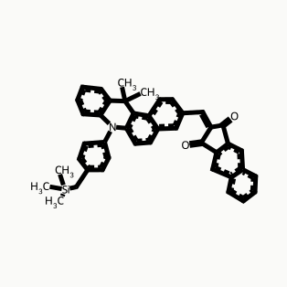 CC1(C)c2ccccc2N(c2ccc(C[Si](C)(C)C)cc2)c2ccc3cc(C=C4C(=O)c5cc6ccccc6cc5C4=O)ccc3c21